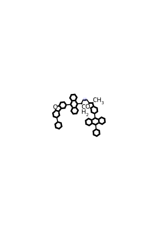 C=C(/C=C\c1oc2cc(-c3c4ccccc4c(-c4ccccc4)c4ccccc34)ccc2c1C)c1c2ccccc2c(-c2ccc3oc4ccc(-c5ccccc5)cc4c3c2)c2ccccc12